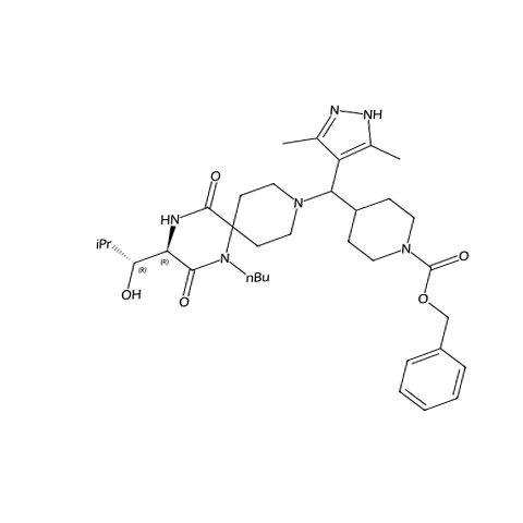 CCCCN1C(=O)[C@@H]([C@H](O)C(C)C)NC(=O)C12CCN(C(c1c(C)n[nH]c1C)C1CCN(C(=O)OCc3ccccc3)CC1)CC2